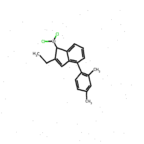 CCC1=Cc2c(-c3ccc(C)cc3C)cccc2[CH]1[Zr]([Cl])[Cl]